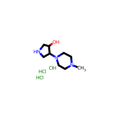 CN1CCN(C2CNCC2O)CC1.Cl.Cl.Cl